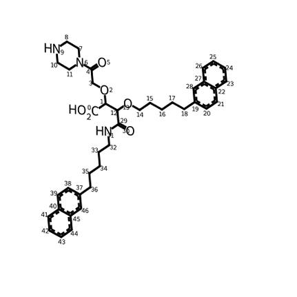 O=C(O)C(OCC(=O)N1CCNCC1)C(OCCCCCc1ccc2ccccc2c1)C(=O)NCCCCCc1ccc2ccccc2c1